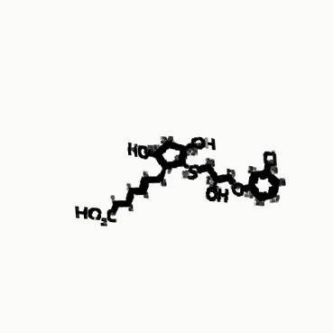 O=C(O)CCCC=CC[C@@H]1[C@@H](SC[C@@H](O)COc2cccc(Cl)c2)[C@H](O)C[C@@H]1O